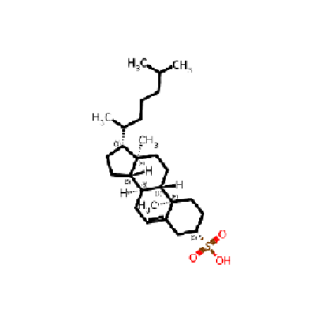 CC(C)CCCC(C)[C@H]1CC[C@H]2[C@@H]3CC=C4C[C@@H](S(=O)(=O)O)CC[C@]4(C)[C@H]3CC[C@]12C